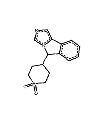 O=S1(=O)CCC(C2c3ccccc3-c3cncn32)CC1